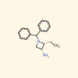 CC[C@@H]1[C@H](N)CN1C(c1ccccc1)c1ccccc1